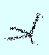 C=CCOCC(COCCOCCOCCN=[N+]=[N-])(COCCOCCOCCOCOC)COCCOCCOCCOCOC